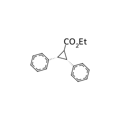 CCOC(=O)C1[C@@H](c2ccccc2)[C@H]1c1ccccc1